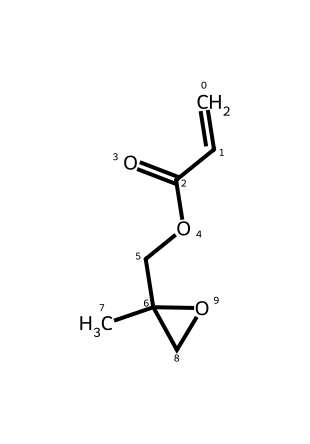 C=CC(=O)OCC1(C)CO1